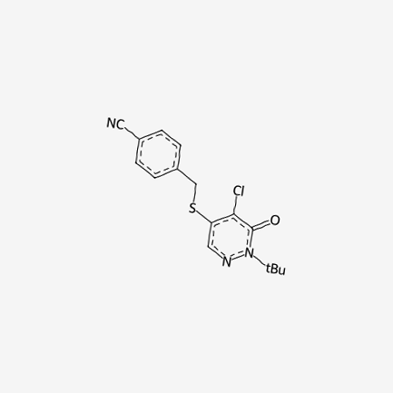 CC(C)(C)n1ncc(SCc2ccc(C#N)cc2)c(Cl)c1=O